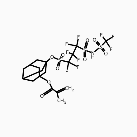 C=C(C)C(=O)OC12CC3CC(C1)CC(OS(=O)(=O)C(F)(F)C(F)(F)C(F)(F)S(=O)(=O)NS(=O)(=O)C(F)(F)F)(C3)C2